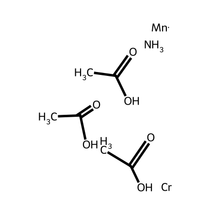 CC(=O)O.CC(=O)O.CC(=O)O.N.[Cr].[Mn]